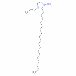 CCCCCCCCCCCCCCCCCCC1N(N)CCN1CCC